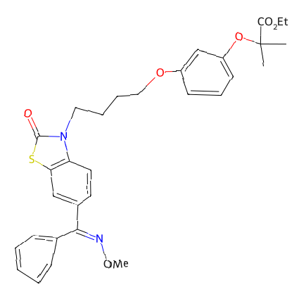 CCOC(=O)C(C)(C)Oc1cccc(OCCCCn2c(=O)sc3cc(C(=NOC)c4ccccc4)ccc32)c1